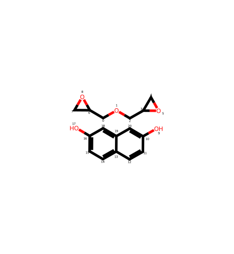 C(OCC1CO1)C1CO1.Oc1ccc2ccc(O)cc2c1